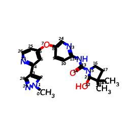 Cn1cc(-c2cc(Oc3ccc(NC(=O)N4CCC(C)(C)C4O)nc3)ccn2)cn1